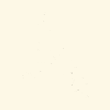 CCN(C(=O)Oc1ccc(F)cc1)C1CN(C(=O)C2CCN(c3cnc(C#N)cn3)CC2)CC1c1ccc(Cl)cc1